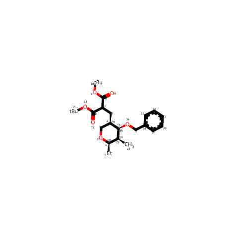 CC[C@H]1OC[C@@H](CC(C(=O)OC(C)(C)C)C(=O)OC(C)(C)C)[C@@H](OCc2ccccc2)[C@H]1C